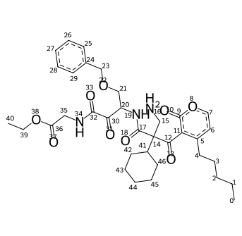 CCCCCc1ccoc(=O)c1C(=O)C(CN)(C(=O)NC(COCc1ccccc1)C(=O)C(=O)NCC(=O)OCC)C1CCCCC1